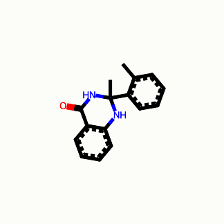 Cc1ccccc1C1(C)NC(=O)c2ccccc2N1